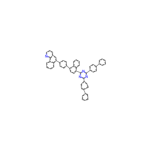 c1ccc(-c2ccc(-c3nc(-c4ccc(-c5ccccc5)cc4)nc(-c4ccc(-c5ccc(-c6cc7cccnc7c7ccccc67)cc5)c5ccccc45)n3)cc2)cc1